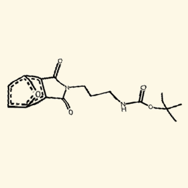 CC(C)(C)OC(=O)NCCCN1C(=O)c2c(c3ccc2o3)C1=O